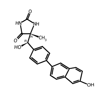 C[C@]1([C@H](O)c2ccc(-c3ccc4cc(O)ccc4c3)cc2)NC(=O)NC1=O